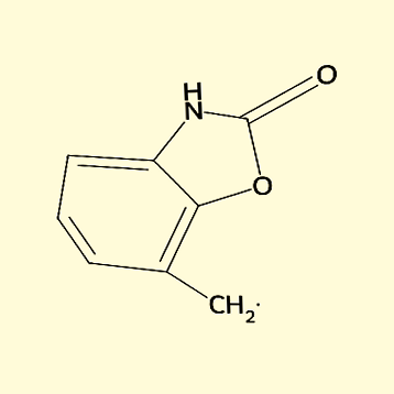 [CH2]c1cccc2[nH]c(=O)oc12